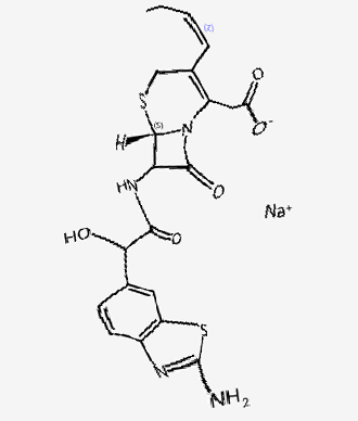 C/C=C\C1=C(C(=O)[O-])N2C(=O)C(NC(=O)C(O)c3ccc4nc(N)sc4c3)[C@@H]2SC1.[Na+]